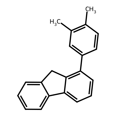 Cc1ccc(-c2cccc3c2Cc2ccccc2-3)cc1C